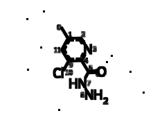 Cc1cnc(C(=O)NN)c(Cl)c1